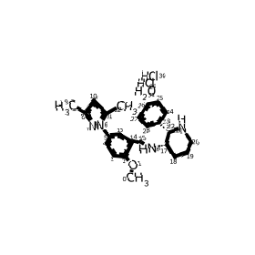 COc1ccc(-n2nc(C)cc2C)cc1CN[C@H]1CCCN[C@H]1c1ccccc1.Cl.Cl.O